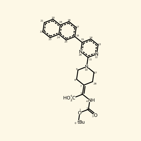 CC(C)(C)OC(=O)NC(C(=O)O)=C1CCN(c2nccc(-c3ccc4ccccc4c3)n2)CC1